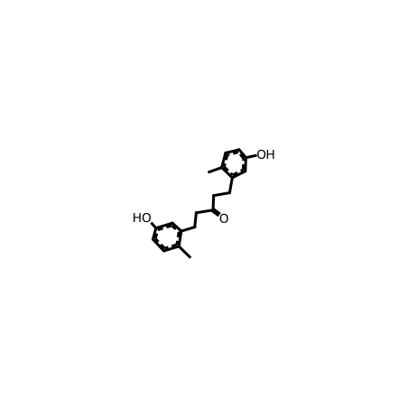 Cc1ccc(O)cc1CCC(=O)CCc1cc(O)ccc1C